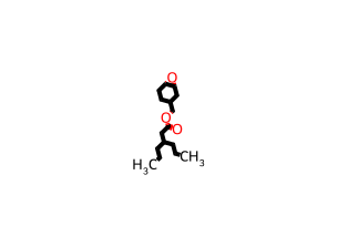 CCCC(CCC)CC(=O)OCC1CCC2OC2C1